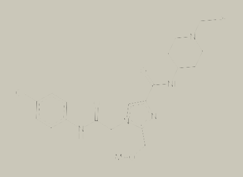 COCc1nc(C(=O)NC2CCN(CC(C)C)CC2)cn1CC(=O)Nc1ccc(Cl)cc1